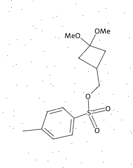 COC1(OC)CC(COS(=O)(=O)c2ccc(C)cc2)C1